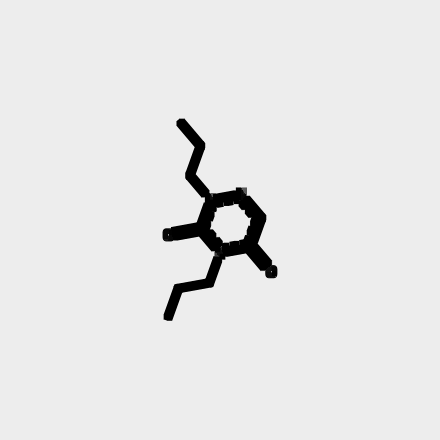 CCCn1ncc(=O)n(CCC)c1=O